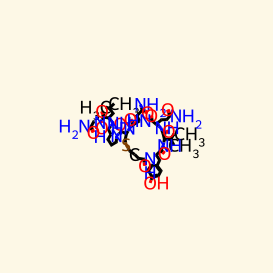 CCC(C)C1NC(=O)C(Cc2ccc(O)cc2)NC(=O)CCCSCC(C(=O)N2CCCC2C(=O)NC(CC(C)C)C(=O)NCC(N)=O)NC(=O)C(CC(N)=O)NC(=O)C(CCC(N)=O)NC1=O